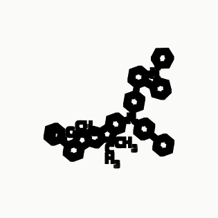 CC1(C)c2cc(N(c3ccc(-c4ccccc4)cc3)c3ccc(-c4cccc5c4c4ccccc4n5-c4ccccc4)cc3)ccc2-c2cc3c(cc21)-c1cccc(-c2ccccc2)c1C3(C)C